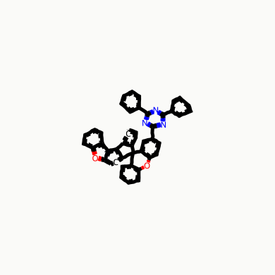 c1ccc(-c2nc(-c3ccccc3)nc(-c3ccc4c(c3)C3(c5ccccc5O4)c4ccccc4-c4c3ccc3oc5ccccc5c43)n2)cc1